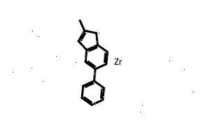 CC1=Cc2cc(-c3ccccc3)ccc2[CH]1.[Zr]